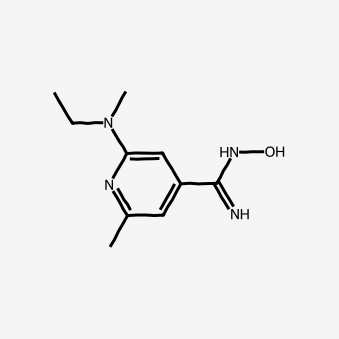 CCN(C)c1cc(C(=N)NO)cc(C)n1